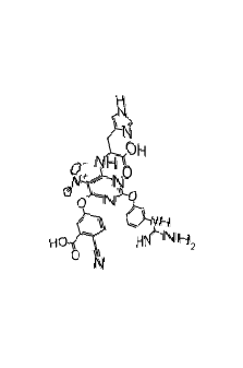 N#Cc1ccc(Oc2nc(Oc3cccc(NC(=N)N)c3)nc(NC(Cc3c[nH]cn3)C(=O)O)c2[N+](=O)[O-])cc1C(=O)O